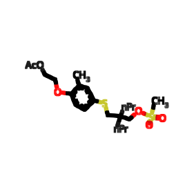 CCCC(CCC)(COS(C)(=O)=O)CSc1ccc(OCCOC(C)=O)c(C)c1